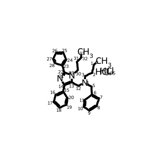 CCCCN(Cc1ccccc1)Cc1c(-c2ccccc2)nc(-c2ccccc2)n1CCCC.Cl.Cl